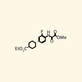 CCOC(=O)[C@H]1CC[C@H](c2ccc(NC(=O)C(=O)OC)c(F)c2)CC1